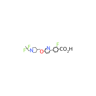 CC(F)(F)CN1CCC(COc2ccc(-c3ccc(C(=O)O)c(F)c3)nc2)CC1